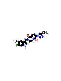 Cc1cn(-c2ccc3n(c2=O)CCN(Cc2c[nH]c4cc(F)c(C(F)(F)F)cc24)C3=O)cn1